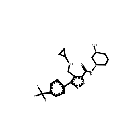 O=C(N[C@@H]1CCC[C@H](O)C1)c1noc(-c2ccc(C(F)(F)F)cc2)c1CNC1CC1